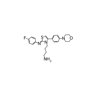 NCCCCn1c(-c2ccc(N3CCOCC3)cc2)cs/c1=N\c1ccc(F)cc1